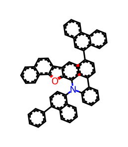 c1ccc(-c2ccc(N(c3ccccc3-c3ccc(-c4cc5ccccc5c5ccccc45)cc3)c3cccc4c3oc3c5ccccc5ccc43)c3ccccc23)cc1